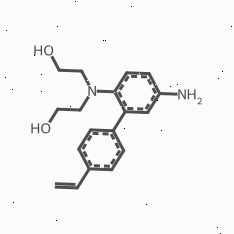 C=Cc1ccc(-c2cc(N)ccc2N(CCO)CCO)cc1